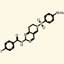 CCc1ccc(C(=O)NC2N=CC3=CN(S(=O)(=O)c4ccc(NC(C)=O)cc4)CCC3=N2)cc1